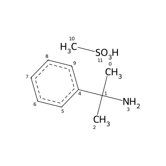 CC(C)(N)c1ccccc1.CS(=O)(=O)O